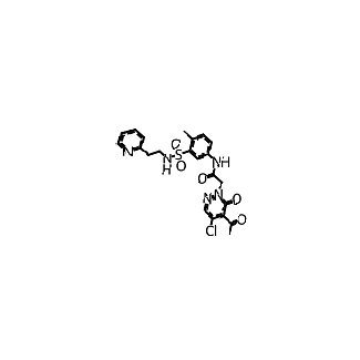 CC(=O)c1c(Cl)cnn(CC(=O)Nc2ccc(C)c(S(=O)(=O)NCCc3ccccn3)c2)c1=O